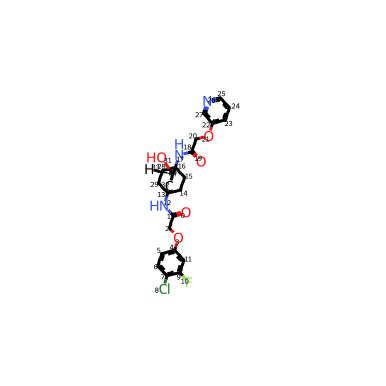 O=C(COc1ccc(Cl)c(F)c1)NC12CCC(NC(=O)COc3cccnc3)(CC1)[C@@H](O)C2